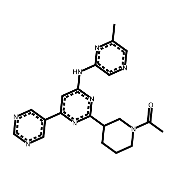 CC(=O)N1CCCC(c2nc(Nc3cncc(C)n3)cc(-c3cncnc3)n2)C1